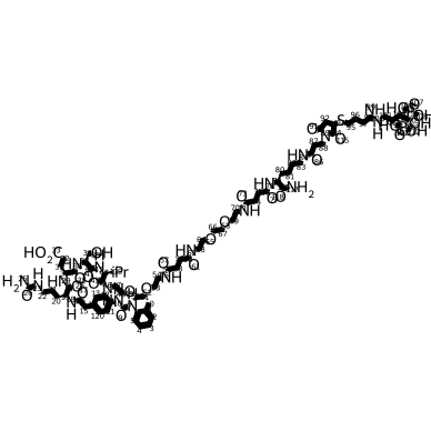 Cc1ccccc1NC(=O)Nc1ccc(CC(=O)N[C@@H](CCCNC(N)=O)C(=O)N[C@@H](CCC(=O)O)C(=O)N[C@@H](CO)C(=O)N[C@H](C(=O)NCCOCCOCCNC(=O)CCC(=O)NCCOCCOCCNC(=O)CCC(=O)N[C@@H](CCCCNC(=O)CCN2C(=O)CC(SCCCC(=N)NCCCC(O)(P(=O)(O)O)P(=O)(O)O)C2=O)C(N)=O)C(C)C)cc1